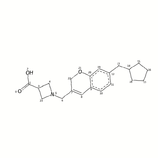 O=C(O)C1CN(CC2=Cc3ccc(CC4CCCC4)cc3OC2)C1